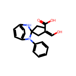 CCC1(CC(=CO)C(=O)O)Nc2ccc(cc2)N1c1ccccc1